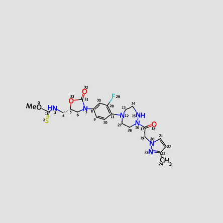 COC(=S)NC[C@H]1CN(c2ccc(N3CCNN(C(=O)Cn4ccc(C)n4)CC3)c(F)c2)C(=O)O1